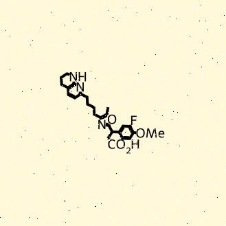 COc1ccc(C(CC(=O)O)c2nc(CCCCc3ccc4c(n3)NCCC4)c(C)o2)cc1F